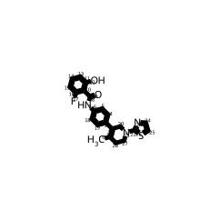 CC1=C(c2ccc(NC(=O)c3c(O)cccc3F)cc2)CN(c2nccs2)CC1